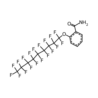 NC(=O)c1ccccc1OC(F)(F)C(F)(F)C(F)(F)C(F)(F)C(F)(F)C(F)(F)C(F)(F)C(F)(F)C(F)(F)F